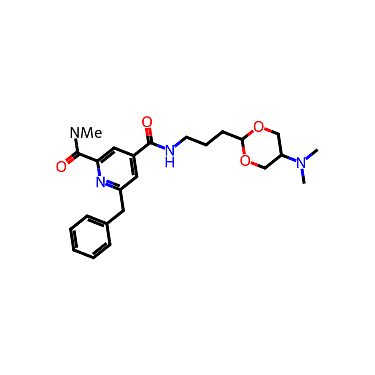 CNC(=O)c1cc(C(=O)NCCCC2OCC(N(C)C)CO2)cc(Cc2ccccc2)n1